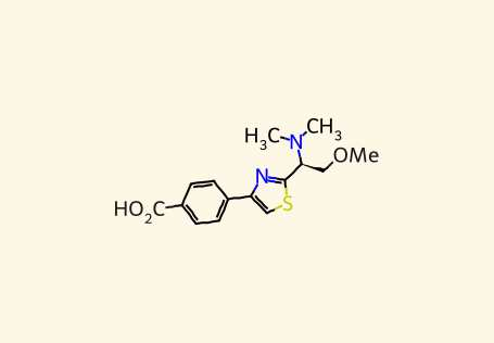 COC[C@@H](c1nc(-c2ccc(C(=O)O)cc2)cs1)N(C)C